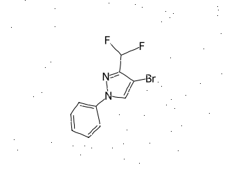 FC(F)c1nn(-c2ccccc2)cc1Br